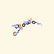 NCc1ccc(-n2cc3cc(-c4ccc(S(=O)(=O)N(CCCN5CCOCC5)C5CCNCC5)cc4)[nH]c3nc2=O)cc1